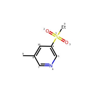 CCS(=O)(=O)c1cncc(C)c1